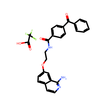 Nc1nccc2ccc(OCCNC(=O)c3ccc(C(=O)c4ccccc4)cc3)cc12.O=C(O)C(F)(F)F